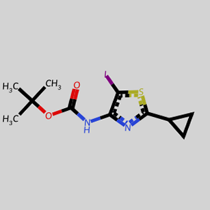 CC(C)(C)OC(=O)Nc1nc(C2CC2)sc1I